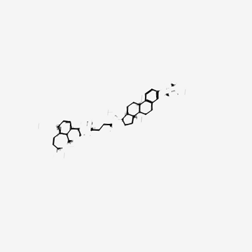 C[C@H]1[C@H](OC(=O)CCC(=O)O[C@H]2CC[C@H]3C4CCc5cc(OS(N)(=O)=O)ccc5[C@H]4CC[C@]23C)O[C@@H]2O[C@@H](C)CC[C@@H]3C2[C@H]1CC[C@H]3C